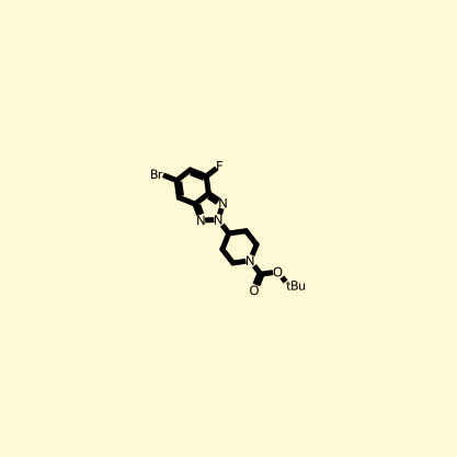 CC(C)(C)OC(=O)N1CCC(n2nc3cc(Br)cc(F)c3n2)CC1